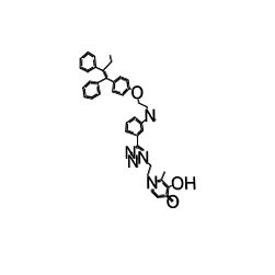 CCC(=C(c1ccccc1)c1ccc(OCCN(C)c2cccc(-c3cn(CCn4ccc(=O)c(O)c4C)nn3)c2)cc1)c1ccccc1